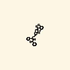 O=C(NC(CCN1CC2CN(C(=O)c3c(F)cccc3Cl)C[C@@H]2C1)c1ccccc1)c1ccccc1